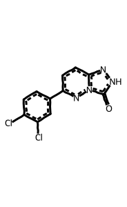 O=c1[nH]nc2ccc(-c3ccc(Cl)c(Cl)c3)nn12